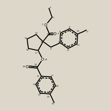 CCOC(=O)C1(Cc2ccc(C)cc2)CCCC1OC(=O)c1ccc(C)cc1